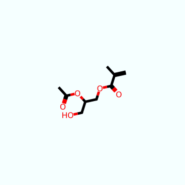 C=C(C)C(=O)OCC(CO)OC(C)=O